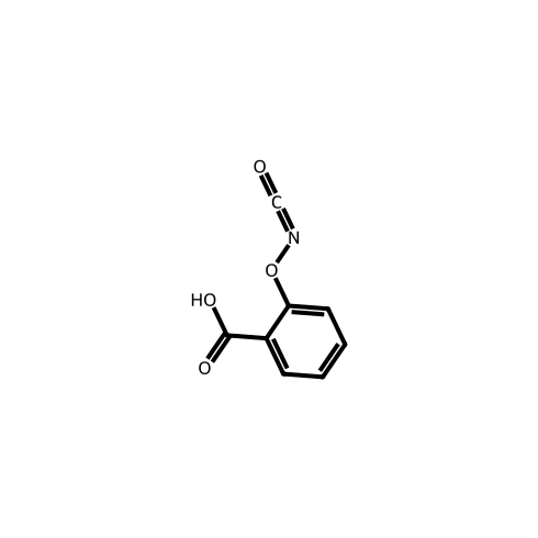 O=C=NOc1ccccc1C(=O)O